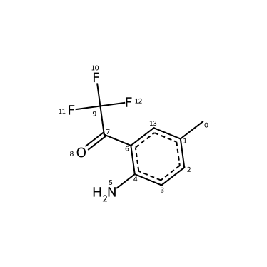 Cc1ccc(N)c(C(=O)C(F)(F)F)c1